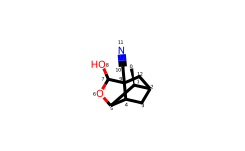 C[C@H]1C2CC3C1OC(O)C3(C#N)C2